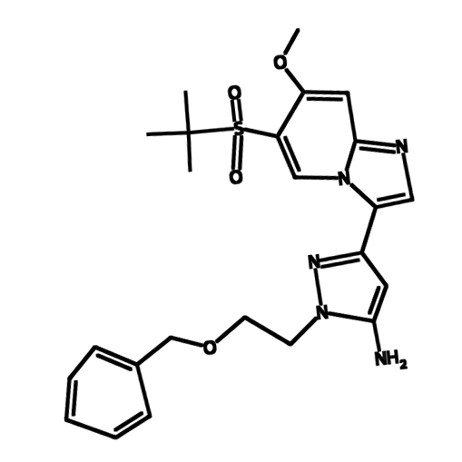 COc1cc2ncc(-c3cc(N)n(CCOCc4ccccc4)n3)n2cc1S(=O)(=O)C(C)(C)C